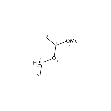 COC(C)O[SiH2]C